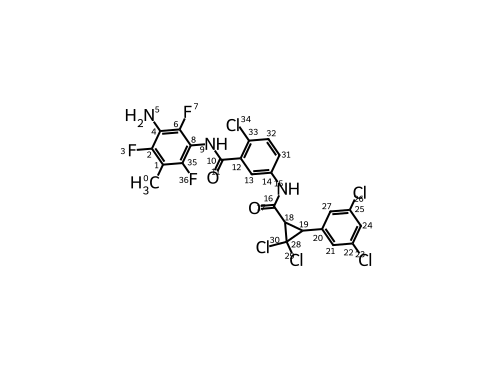 Cc1c(F)c(N)c(F)c(NC(=O)c2cc(NC(=O)C3C(c4cc(Cl)cc(Cl)c4)C3(Cl)Cl)ccc2Cl)c1F